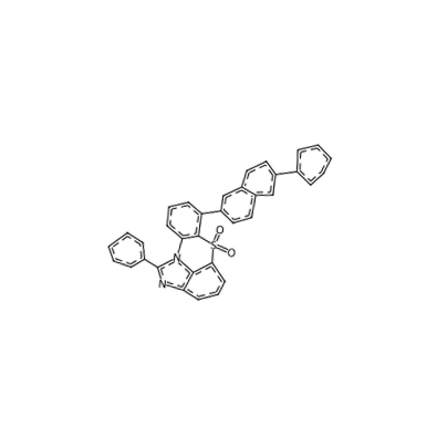 O=S1(=O)c2c(-c3ccc4cc(-c5ccccc5)ccc4c3)cccc2-n2c(-c3ccccc3)nc3cccc1c32